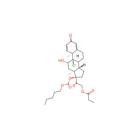 CCCCCOC(=O)O[C@]1(C(=O)COC(=O)CC)CC[C@H]2[C@@H]3CCC4=CC(=O)C=C[C@]4(C)[C@@]3(Cl)C(O)C[C@@]21C